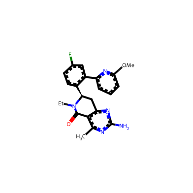 CCN1C(=O)c2c(C)nc(N)nc2C[C@@H]1c1ccc(F)cc1-c1cccc(OC)n1